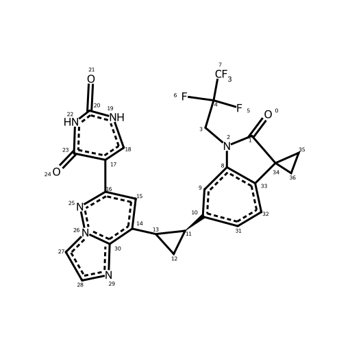 O=C1N(CC(F)(F)C(F)(F)F)c2cc([C@H]3CC3c3cc(-c4c[nH]c(=O)[nH]c4=O)nn4ccnc34)ccc2C12CC2